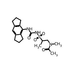 CC(=O)N(C)CC(C)S(=O)(=O)NC(=O)Nc1c2c(cc3c1CCC3)CCC2